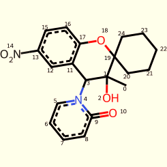 CC1(O)C(n2ccccc2=O)c2cc([N+](=O)[O-])ccc2OC12CCCCC2